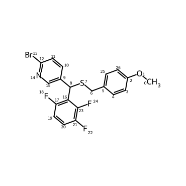 COc1ccc(CSC(c2ccc(Br)nc2)c2c(F)ccc(F)c2F)cc1